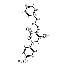 CC(=O)Oc1ccc(C2CC(O)=C(SCCc3ccccc3)C(=O)O2)cc1